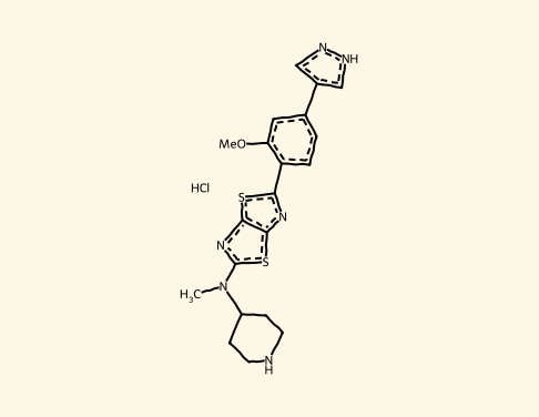 COc1cc(-c2cn[nH]c2)ccc1-c1nc2sc(N(C)C3CCNCC3)nc2s1.Cl